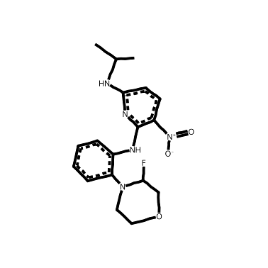 CC(C)Nc1ccc([N+](=O)[O-])c(Nc2ccccc2N2CCOCC2F)n1